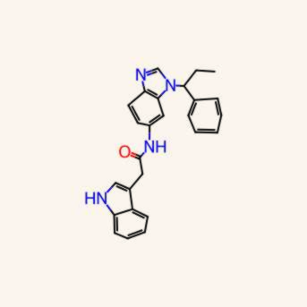 CCC(c1ccccc1)n1cnc2ccc(NC(=O)Cc3c[nH]c4ccccc34)cc21